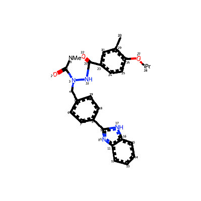 CNC(=O)N(Cc1ccc(-c2nc3ccccc3[nH]2)cc1)NC(=O)c1ccc(OC(C)C)c(C)c1